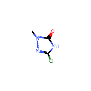 Cn1nc(Cl)[nH]c1=O